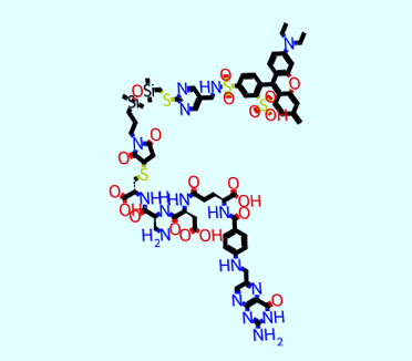 C=c1ccc2c(c1)Oc1cc(N(CC)CC)ccc1C=2c1ccc(S(=O)(=O)NCc2cnc(SC[Si](C)(C)O[Si](C)(C)CCCN3C(=O)CC(SC[C@H](NC(=O)[C@H](CN)NC(=O)[C@H](CC(=O)O)NC(=O)CC[C@H](NC(=O)c4ccc(NCc5cnc6nc(N)[nH]c(=O)c6n5)cc4)C(=O)O)C(=O)O)C3=O)nc2)cc1S(=O)(=O)O